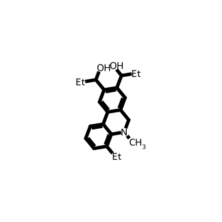 CCc1cccc2c1N(C)Cc1cc(C(O)CC)c(C(O)CC)cc1-2